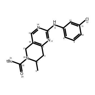 CC1Cc2nc(Nc3cccc(Cl)c3)ncc2CN1C(=O)C(C)(C)C